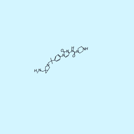 CC(C)(CN1CC2CC2(CN)C1)c1ccc(-n2ccc(NC(=O)N3CCNCC3)nc2=O)cc1